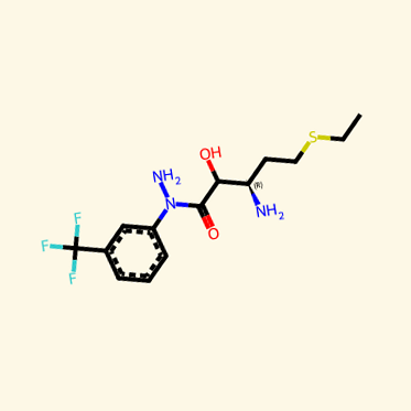 CCSCC[C@@H](N)C(O)C(=O)N(N)c1cccc(C(F)(F)F)c1